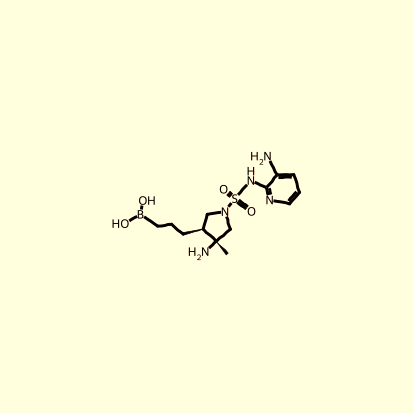 C[C@]1(N)CN(S(=O)(=O)Nc2ncccc2N)C[C@@H]1CCCB(O)O